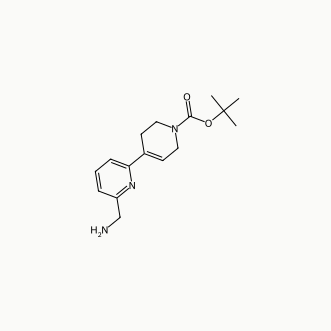 CC(C)(C)OC(=O)N1CC=C(c2cccc(CN)n2)CC1